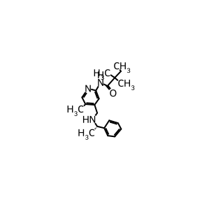 CCC(C)(C)C(=O)Nc1cc(CN[C@@H](C)c2ccccc2)c(C)cn1